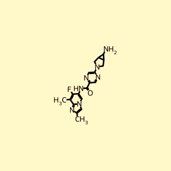 Cc1cn2cc(NC(=O)c3cnc(N4CC5C(N)C5C4)cn3)c(F)c(C)c2n1